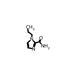 CCCn1ccnc1C(N)=O